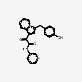 O=C(Nc1cccnc1)C(=O)c1cc(Cc2ccc(O)cc2)n2ccccc12